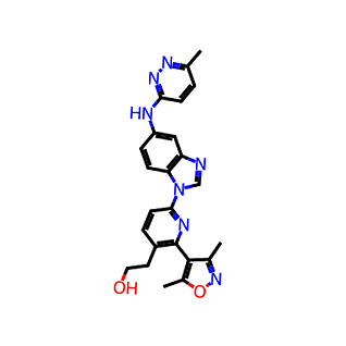 Cc1ccc(Nc2ccc3c(c2)ncn3-c2ccc(CCO)c(-c3c(C)noc3C)n2)nn1